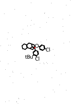 CC(C)(C)c1cc(/C(Oc2ccc(Cl)cc2)=C2/C3CCCC2C2=C(CCCC2)C3)ccc1Cl